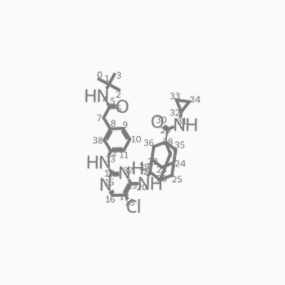 CC(C)(C)NC(=O)Cc1cccc(Nc2ncc(Cl)c(N[C@H]3C4CC5CC3C[C@@](C(=O)NC3CC3)(C5)C4)n2)c1